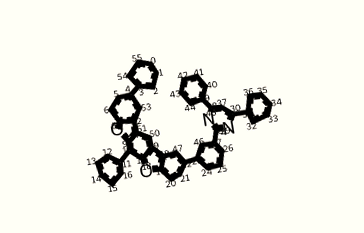 c1ccc(-c2ccc3oc4c(-c5ccccc5)c5oc6ccc(-c7cccc(-c8nc(-c9ccccc9)cc(-c9ccccc9)n8)c7)cc6c5cc4c3c2)cc1